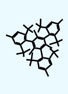 Cc1cc(C(C)(C)C)c(-c2c(C)c(-c3c(C(C)(C)C)cc(C)cc3C(C)(C)C)c(C)c(-c3c(C(C)(C)C)cc(C)cc3C(C)(C)C)c2C)c(C(C)(C)C)c1